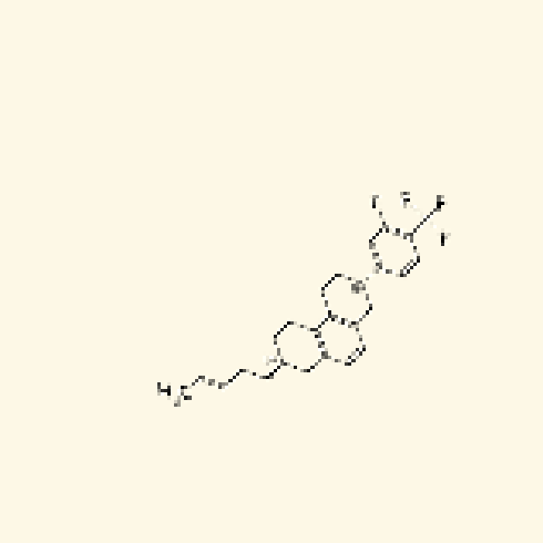 CC=CCC[C@H]1CCc2c(ccc3c2CC[C@H](c2ccc(C(F)(F)F)c(F)c2)C3)C1